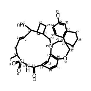 CCCC1/C=C/CC(C)S(=O)(=O)NC(=O)c2ccc3c(c2)N(CC2CCC12)C[C@@]1(CCCc2cc(Cl)ccc21)CO3